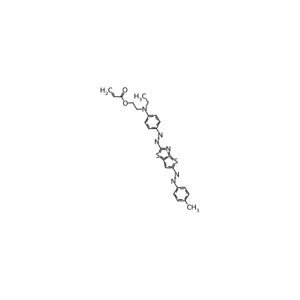 C=CC(=O)OCCN(CC)c1ccc(N=Nc2nc3sc(N=Nc4ccc(C)cc4)cc3s2)cc1